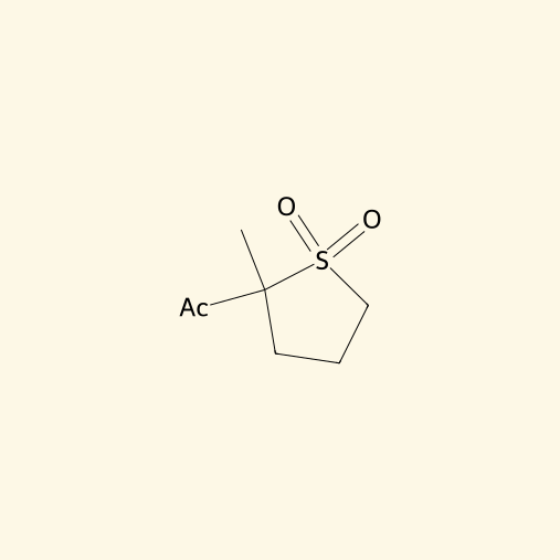 CC(=O)C1(C)CCCS1(=O)=O